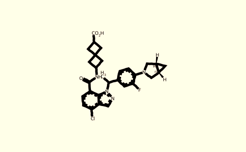 CC(c1ccc(N2C[C@H]3C[C@H]3C2)c(F)c1)n1ncc2c(Cl)ccc(C(=O)NC3CC4(C3)CC(C(=O)O)C4)c21